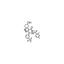 Cc1ccc(C(F)(F)CNC(=O)c2c(Oc3cccc(C(F)(F)F)c3)nnc3c2CC(O)CC3)c(C)c1